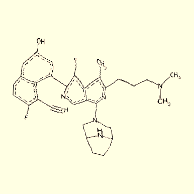 C#Cc1c(F)ccc2cc(O)cc(-c3ncc4c(N5CC6CCC(C5)N6)nc(CCCN(C)C)c(C)c4c3F)c12